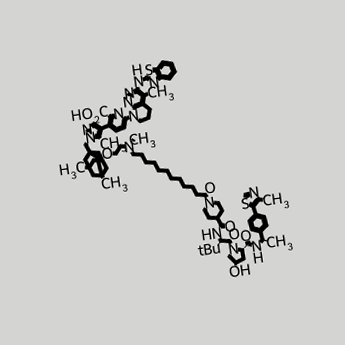 Cc1ncsc1-c1ccc([C@H](C)NC(=O)[C@@H]2C[C@@H](O)CN2C(=O)[C@@H](NC(=O)C2CCN(C(=O)CCCCCCCCCCCN(C)CCOC34CC5(C)CC(C)(CC(Cn6ncc(-c7ccc(N8CCCc9c8nnc(Nc8nc%10ccccc%10s8)c9C)nc7C(=O)O)c6C)(C5)C3)C4)CC2)C(C)(C)C)cc1